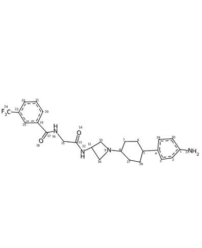 Nc1ccc(C2CCC(N3CC(NC(=O)CNC(=O)c4cccc(C(F)(F)F)c4)C3)CC2)cc1